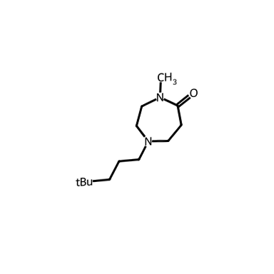 CN1CCN(CCCC(C)(C)C)CCC1=O